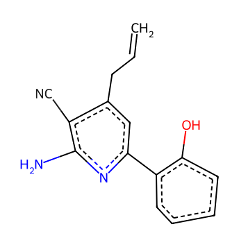 C=CCc1cc(-c2ccccc2O)nc(N)c1C#N